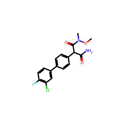 CON(C)C(=O)C(C(N)=O)c1ccc(-c2ccc(F)c(Cl)c2)cc1